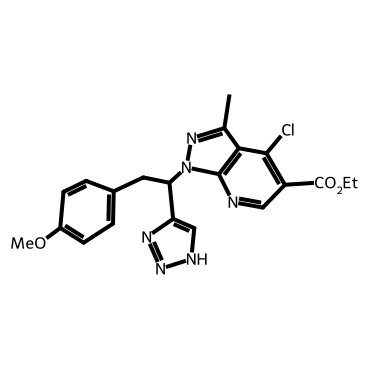 CCOC(=O)c1cnc2c(c(C)nn2C(Cc2ccc(OC)cc2)c2c[nH]nn2)c1Cl